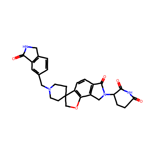 O=C1CCC(N2Cc3c(ccc4c3OCC43CCN(Cc4ccc5c(c4)C(=O)NC5)CC3)C2=O)C(=O)N1